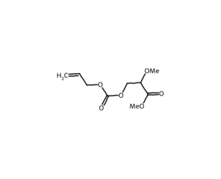 C=CCOC(=O)OCC(OC)C(=O)OC